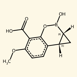 COc1ccc2c(c1C(=O)O)OB(O)[C@@H]1C[C@H]21